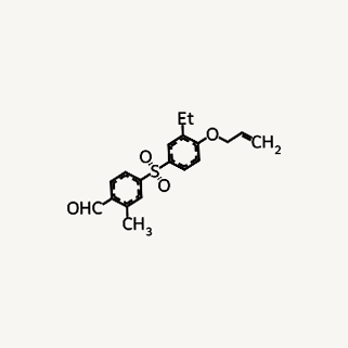 C=CCOc1ccc(S(=O)(=O)c2ccc(C=O)c(C)c2)cc1CC